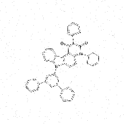 O=c1c2c3c4ccccc4n(-c4cc(-c5ccccc5)cc(-c5ccccc5)c4)c3ccc2n(C2=CC=CCC2)c(=O)n1-c1ccccc1